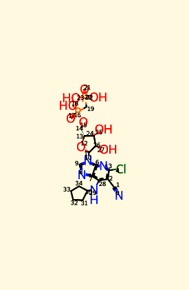 N#Cc1c(Cl)nc2c(ncn2[C@@H]2O[C@H](COP(=O)(O)CP(=O)(O)O)[C@@H](O)[C@H]2O)c1NC1CCCC1